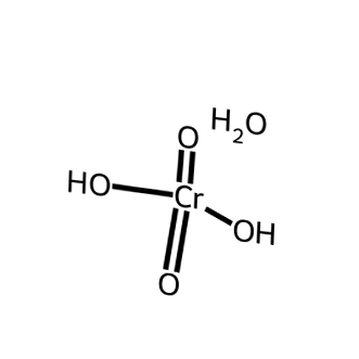 O.[O]=[Cr](=[O])([OH])[OH]